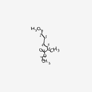 CCCCCC[C@@H](C)C(=O)OCC